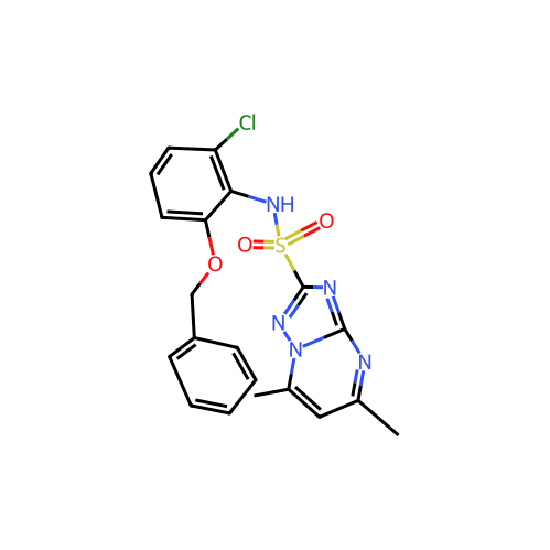 Cc1cc(C)n2nc(S(=O)(=O)Nc3c(Cl)cccc3OCc3ccccc3)nc2n1